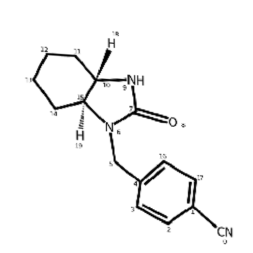 N#Cc1ccc(CN2C(=O)N[C@H]3CCCC[C@@H]32)cc1